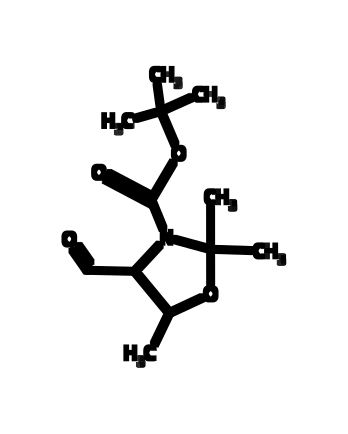 CC1OC(C)(C)N(C(=O)OC(C)(C)C)C1C=O